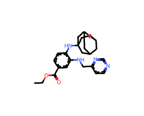 CCOC(=O)c1ccc(NC23CCC4CC(CC(C4)C2)C3)c(NCc2ccncn2)c1